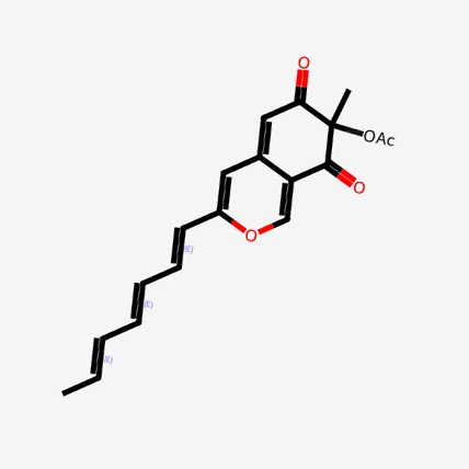 C/C=C/C=C/C=C/C1=CC2=CC(=O)C(C)(OC(C)=O)C(=O)C2=CO1